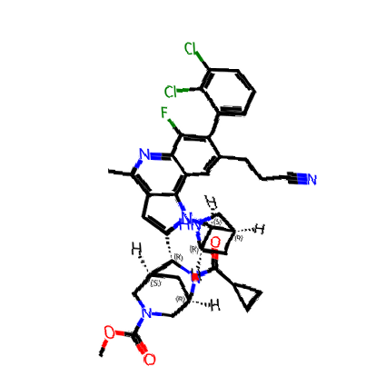 COC(=O)N1C[C@@H]2C[C@H](C1)N(C(=O)C1CC1)[C@H]2c1cc2c(C)nc3c(F)c(-c4cccc(Cl)c4Cl)c(CCC#N)cc3c2n1[C@H]1[C@H]2CN[C@@H]1C2